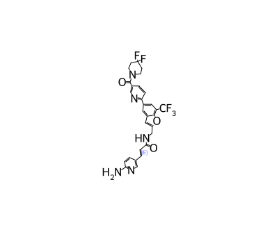 Nc1ccc(/C=C/C(=O)NCc2cc3cc(-c4ccc(C(=O)N5CCC(F)(F)CC5)cn4)cc(C(F)(F)F)c3o2)cn1